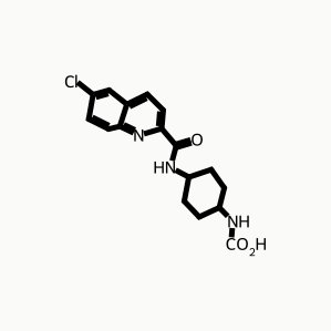 O=C(O)NC1CCC(NC(=O)c2ccc3cc(Cl)ccc3n2)CC1